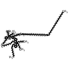 CCCCCCCCCC#CCCc1ccccc1C1=C(CCCCCC)C(CCCCCC)=C(c2ccccc2CCC#CCCCCCCCCC)[N+]1=[N-].CCCCCCCCCCCCCCCCCCCCCCCCC[CH2][Ni][CH2]CCCCCCCCCCCCCCCCCCCCCCCCC.CCCCCCc1cccc(C2=C(CCCC)C(CCCC)=C(c3cccc(CCCCCC)c3)[N+]2=[N-])c1.[Pd]